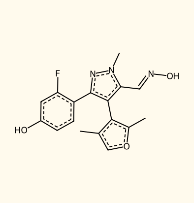 Cc1coc(C)c1-c1c(-c2ccc(O)cc2F)nn(C)c1C=NO